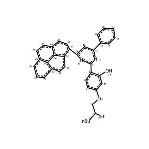 CCCCC(CC)COc1ccc(-c2nc(-c3ccccc3)cc(-c3ccc4ccc5cccc6ccc3c4c56)n2)c(O)c1